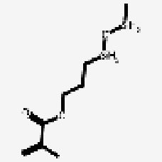 C=C(C)C(=O)OCCC[SiH2]O[SiH2]C